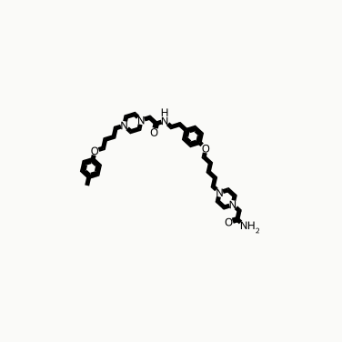 Cc1ccc(OCCCCN2CCN(CC(=O)NCCc3ccc(OCCCCCN4CCN(CC(N)=O)CC4)cc3)CC2)cc1